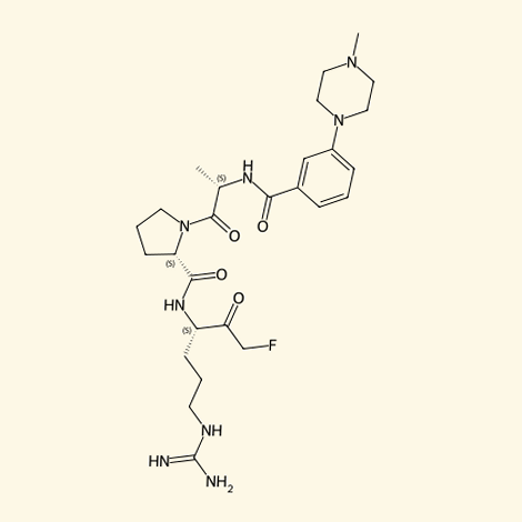 C[C@H](NC(=O)c1cccc(N2CCN(C)CC2)c1)C(=O)N1CCC[C@H]1C(=O)N[C@@H](CCCNC(=N)N)C(=O)CF